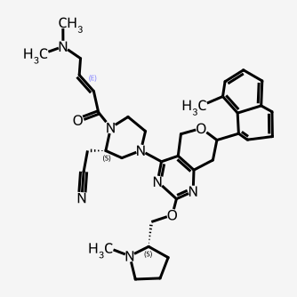 Cc1cccc2cccc(C3Cc4nc(OC[C@@H]5CCCN5C)nc(N5CCN(C(=O)/C=C/CN(C)C)[C@@H](CC#N)C5)c4CO3)c12